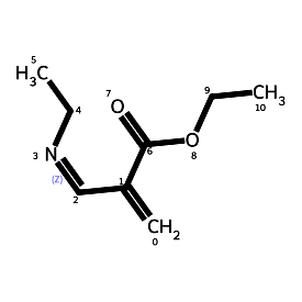 C=C(/C=N\CC)C(=O)OCC